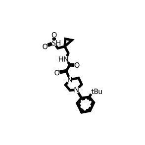 CC(C)(C)c1ccccc1N1CCN(C(=O)C(=O)NCC2(C[SH](=O)=O)CC2)CC1